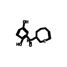 O=[PH](c1cc(O)ccc1O)C1CCC=CCCC1